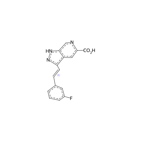 O=C(O)c1cc2c(/C=C/c3cccc(F)c3)n[nH]c2cn1